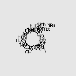 CC[C@H](C)C[C@H]1CC[C@](O)([C@@](C)(O)C(=O)N[C@@H]2C(=O)N3NCCC[C@@H]3C(=O)N(O)[C@@H](C)C(=O)N3NC[C@H](O)C[C@@H]3C(=O)N3CC[C@@](C)(O)[C@H]3C(=O)N(O)[C@@H](C(C)C)C(=O)O[C@H]2C(C)C)O[C@@H]1CC